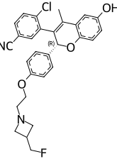 CC1=C(c2cc(C#N)ccc2Cl)[C@@H](c2ccc(OCCN3CC(CF)C3)cc2)Oc2ccc(O)cc21